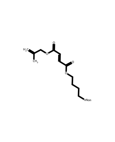 C=C(C)COC(=O)C=CC(=O)OCCCCCCCCCCCCC